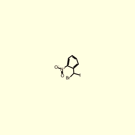 O=[N+]([O-])c1ccccc1C(Br)I